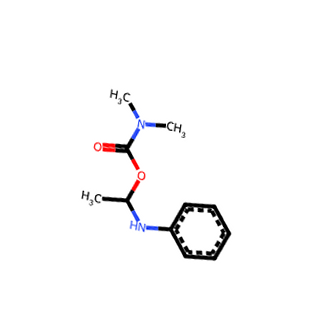 CC(Nc1ccccc1)OC(=O)N(C)C